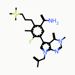 C=C(C)Cn1cc(-c2cc(C(=C)N)c(CCCS(C)(C)C)c(C)c2F)c2c1N=CN(C)C2=C